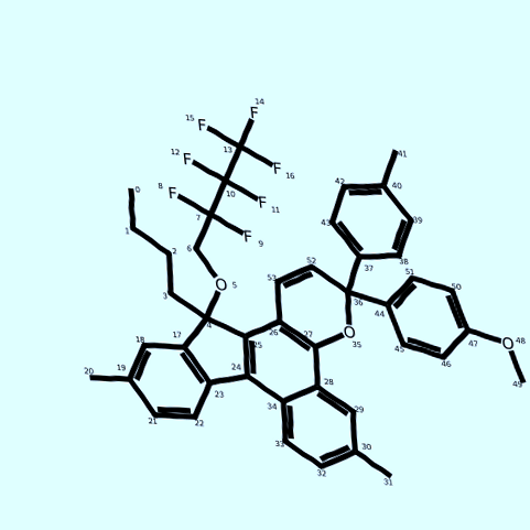 CCCCC1(OCC(F)(F)C(F)(F)C(F)(F)F)c2cc(C)ccc2-c2c1c1c(c3cc(C)ccc23)OC(c2ccc(C)cc2)(c2ccc(OC)cc2)C=C1